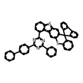 c1ccc(-c2ccc(-c3nc(-c4ccccc4)nc(-c4cccc5sc6cc7c(cc6c45)Sc4ccccc4C74c5ccccc5-c5ccccc54)n3)cc2)cc1